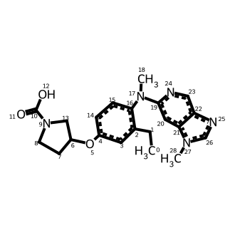 CCc1cc(OC2CCN(C(=O)O)C2)ccc1N(C)c1cc2c(cn1)ncn2C